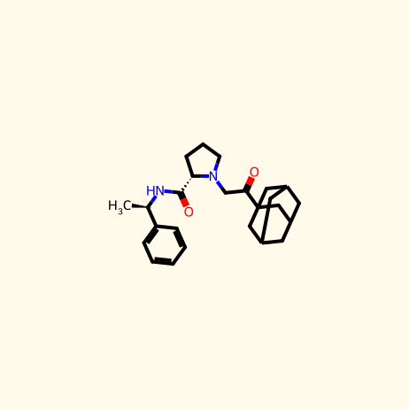 C[C@@H](NC(=O)[C@@H]1CCCN1CC(=O)C12CC3CC(CC(C3)C1)C2)c1ccccc1